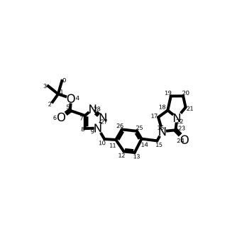 CC(C)(C)OC(=O)c1cn(Cc2ccc(CN3CC4CCCN4C3=O)cc2)nn1